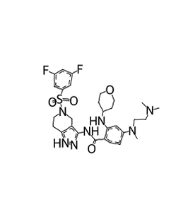 CN(C)CCN(C)c1ccc(C(=O)Nc2n[nH]c3c2CN(S(=O)(=O)c2cc(F)cc(F)c2)CC3)c(NC2CCOCC2)c1